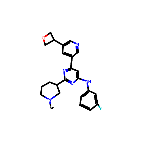 CC(=O)N1CCCC(c2nc(Nc3cccc(F)c3)cc(-c3cncc(C4COC4)c3)n2)C1